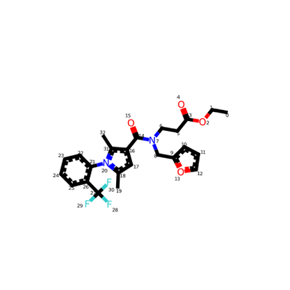 CCOC(=O)CCN(Cc1ccco1)C(=O)c1cc(C)n(-c2ccccc2C(F)(F)F)c1C